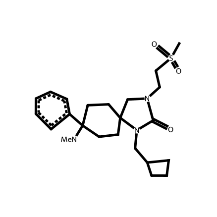 CNC1(c2ccccc2)CCC2(CC1)CN(CCS(C)(=O)=O)C(=O)N2CC1CCC1